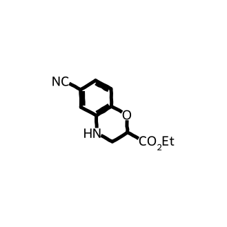 CCOC(=O)C1CNc2cc(C#N)ccc2O1